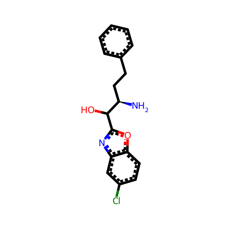 N[C@H](CCc1ccccc1)C(O)c1nc2cc(Cl)ccc2o1